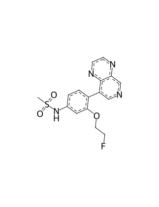 CS(=O)(=O)Nc1ccc(-c2cncc3nccnc23)c(OCCF)c1